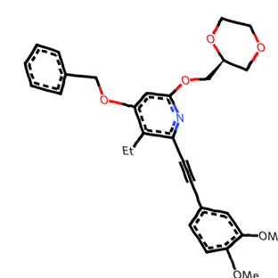 CCc1c(OCc2ccccc2)cc(OC[C@@H]2COCCO2)nc1C#Cc1ccc(OC)c(OC)c1